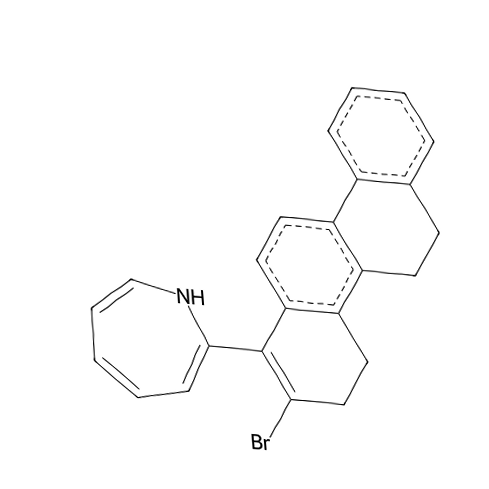 BrC1=C(C2=CC=CC=CN2)c2ccc3c(c2CC1)CCc1ccccc1-3